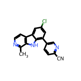 Cc1nccc2c1[nH]c1c(-c3ccc(C#N)nc3)cc(Cl)cc12